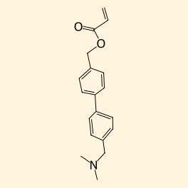 C=CC(=O)OCc1ccc(-c2ccc(CN(C)C)cc2)cc1